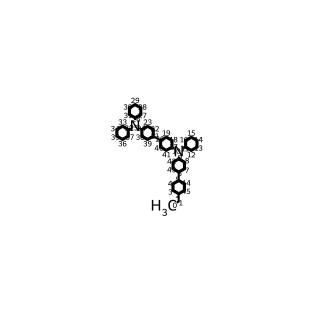 CCc1ccc(-c2ccc(N(c3ccccc3)c3ccc(-c4ccc(N(c5ccccc5)c5ccccc5)cc4)cc3)cc2)cc1